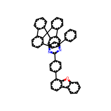 c1ccc(-c2cc(-c3cccc4c3C3(c5ccccc5-c5ccccc53)c3ccccc3-4)nc(-c3ccc(-c4cccc5c4oc4ccccc45)cc3)n2)cc1